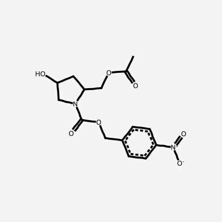 CC(=O)OCC1CC(O)CN1C(=O)OCc1ccc([N+](=O)[O-])cc1